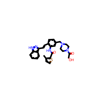 Cc1ccsc1C(=O)Nc1cc(CN2CCN(C(=O)CO)CC2)ccc1/C=C/c1n[nH]c2ccccc12